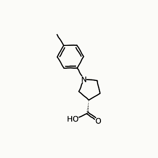 Cc1ccc(N2CC[C@H](C(=O)O)C2)cc1